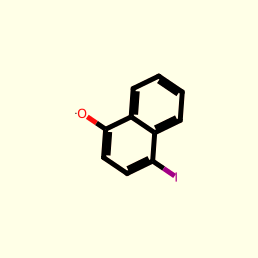 [O]c1ccc(I)c2ccccc12